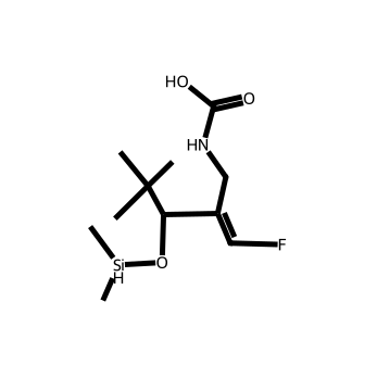 C[SiH](C)OC(/C(=C/F)CNC(=O)O)C(C)(C)C